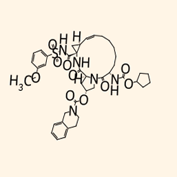 COc1cccc(S(=O)(=O)NC(=O)[C@@]23C[C@H]2/C=C\CCCCC[C@H](NC(=O)OC2CCCC2)C(=O)N2C[C@H](OC(=O)N4CCc5ccccc5C4)C[C@H]2C(=O)N3)c1